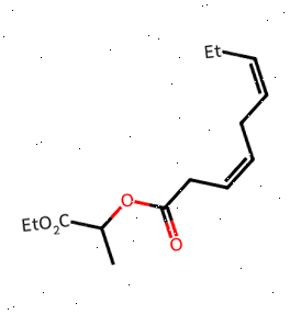 CC/C=C\C/C=C\CC(=O)OC(C)C(=O)OCC